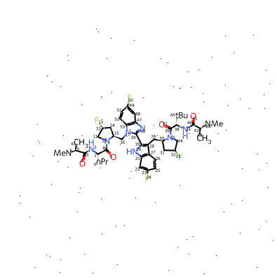 CCC[C@H](NC(=O)[C@H](C)NC)C(=O)N1C[C@@H](F)C[C@H]1Cn1c(-c2[nH]c3cc(F)ccc3c2C[C@@H]2C[C@H](F)CN2C(=O)[C@@H](NC(=O)[C@H](C)NC)C(C)(C)C)nc2cc(F)ccc21